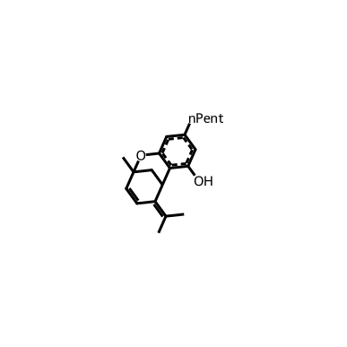 CCCCCc1cc(O)c2c(c1)OC1(C)C=CC(=C(C)C)C2C1